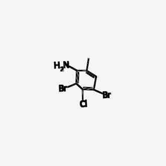 Cc1cc(Br)c(Cl)c(Br)c1N